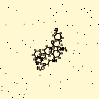 COCCN[C@H]1CC[C@](N)([C@@H](Cc2ccc(Cl)cc2)C(=O)N2CCC(Cn3cncn3)(C3CCCCC3)CC2)CC1